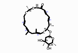 C/C1=C\C=C\CC[C@H](C)CNC(=O)/C=C/C=C/[C@H](C)[C@@H](O[C@H]2C[C@](C)(O)[C@H](O)[C@@H](C)O2)C/C=C(\C)C1